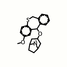 COc1ccc2c(c1)C(OC1CC3CCC(C1)N3C)c1ccccc1CS2